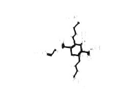 C=CCOC(=O)C1=C(CCCCC)C(N)C(C(=O)O)=C(CCCCC)C1